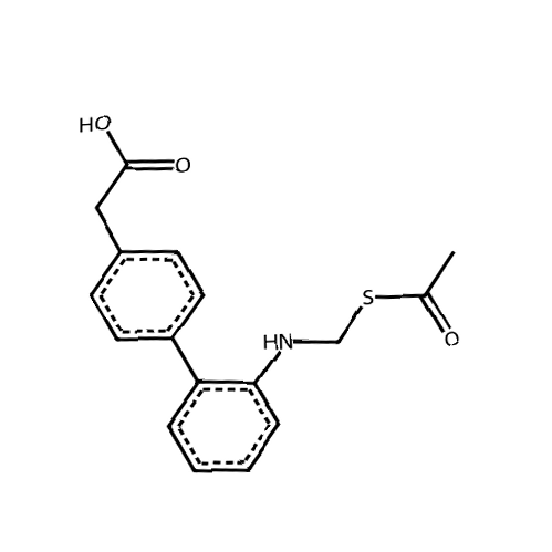 CC(=O)SCNc1ccccc1-c1ccc(CC(=O)O)cc1